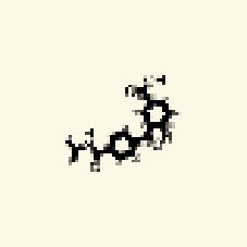 CC(C)NC(=O)c1ccc(-c2onc3ccc(C(=O)O)cc23)cc1